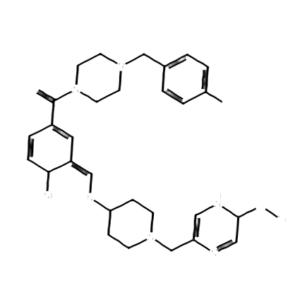 CCOC1C=NC(CN2CCC(N/C=C3/C=C(C(=O)N4CCN(Cc5ccc(C(F)(F)F)cc5)CC4)C=CC3N)CC2)=CN1